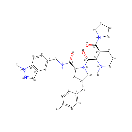 Cc1ccc(C[C@@H]2C[C@@H](C(=O)NCc3ccc4c(cnn4C)c3)N(C(=O)[C@H]3[C@@H](C(=O)N4CCCC4)CCCN3C)C2)cc1